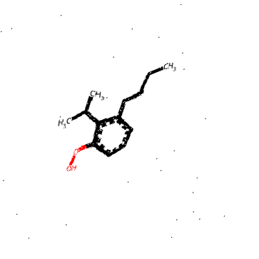 CCCCc1cccc(OO)c1C(C)C